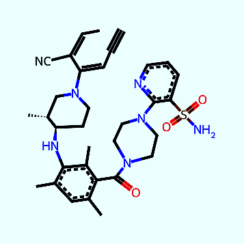 C#C/C=C(\C(C#N)=C/C)N1CC[C@@H](Nc2c(C)cc(C)c(C(=O)N3CCN(c4ncccc4S(N)(=O)=O)CC3)c2C)[C@H](C)C1